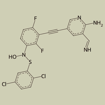 N=Cc1cc(C#Cc2c(F)ccc(N(O)Sc3cc(Cl)ccc3Cl)c2F)cnc1N